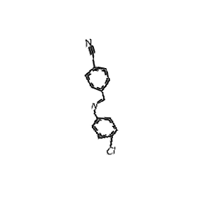 N#Cc1ccc(C=Nc2ccc(Cl)cc2)cc1